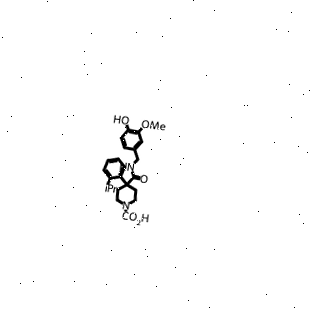 COc1cc(CNC(=O)C2(c3ccccc3C(C)C)CCN(C(=O)O)CC2)ccc1O